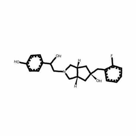 Oc1ccc(C(O)CN2C[C@@H]3C[C@](O)(Cc4ccccc4F)C[C@@H]3C2)cc1